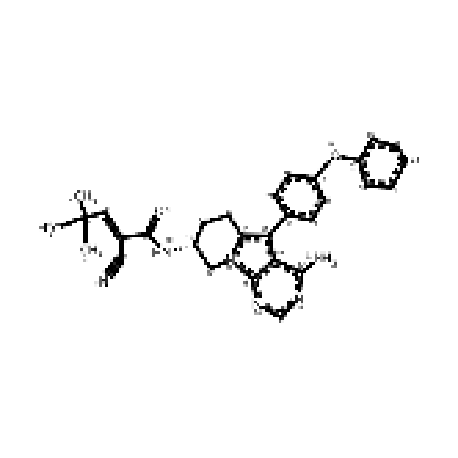 CC(C)(C)C=C(C#N)C(=O)N[C@@H]1CCc2c(-c3ccc(Oc4ccccc4)cc3)c3c(N)ncnc3n2C1